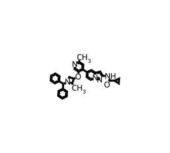 Cc1cc(-c2ccn3nc(NC(=O)C4CC4)cc3c2)c(OC2CN(C(c3ccccc3)c3ccccc3)C2C)cn1